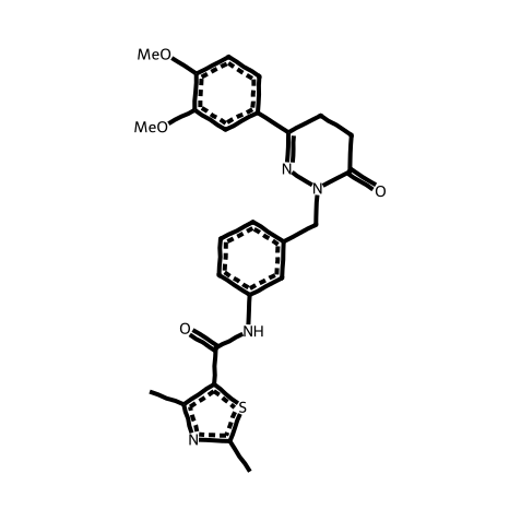 COc1ccc(C2=NN(Cc3cccc(NC(=O)c4sc(C)nc4C)c3)C(=O)CC2)cc1OC